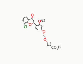 CCOc1cc(OCCOC2CC(C(=O)O)C2)ccc1-c1cc(=O)c2cccc(Cl)c2o1